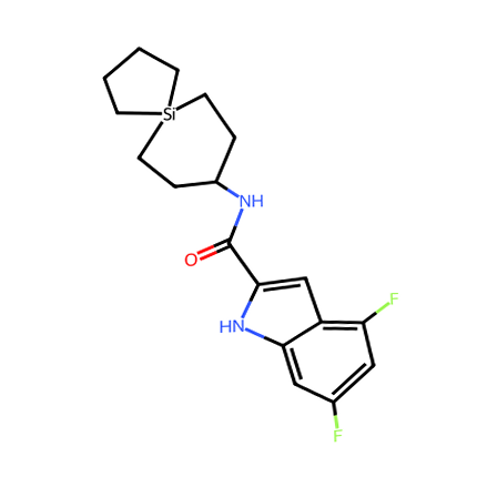 O=C(NC1CC[Si]2(CCCC2)CC1)c1cc2c(F)cc(F)cc2[nH]1